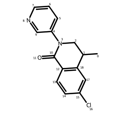 CC1CN(c2cccnc2)C(=O)c2ccc(Cl)cc21